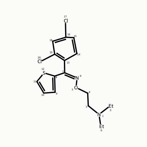 CCN(CC)CCON=C(c1cccs1)c1ccc(Cl)cc1Cl